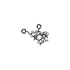 CC(=O)O[C@H]1C(=O)[C@]2(C)[C@@H](O)CC3OC[C@@]3(OC(C)=O)[C@H]2[C@H](OC(=O)c2ccccc2)[C@]2(O)C[C@H](OC(=O)CCc3ccccc3)C(C)=C1C2(C)C